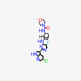 O=C(NC1CC2CC(Nc3nc(-c4c[nH]c5ncc(Cl)cc45)ncc3F)[C@H]1C2)N1CCOCC1